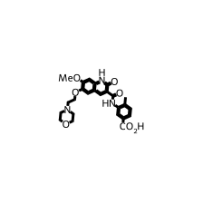 COc1cc2[nH]c(=O)c(C(=O)Nc3cc(C(=O)O)ccc3C)cc2cc1OCCN1CCOCC1